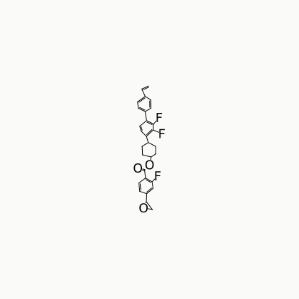 C=Cc1ccc(-c2ccc(C3CCC(OC(=O)c4ccc(C5CO5)cc4F)CC3)c(F)c2F)cc1